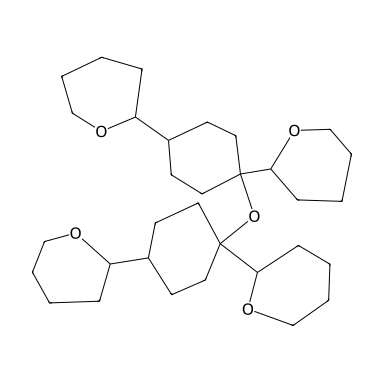 C1CCC(C2CCC(OC3(C4CCCCO4)CCC(C4CCCCO4)CC3)(C3CCCCO3)CC2)OC1